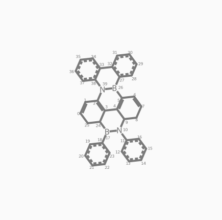 C1=CC2=C3C4=C(C=CCC4N(c4ccccc4)B(c4ccccc4)C3C1)B1c3ccccc3-c3ccccc3N12